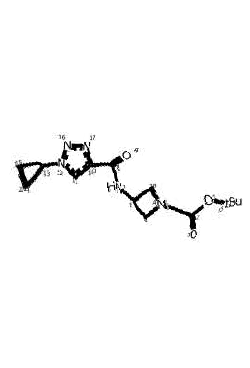 CC(C)(C)OC(=O)N1CC(NC(=O)c2cn(C3CC3)nn2)C1